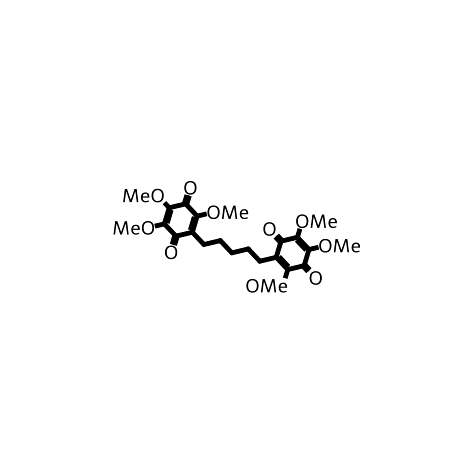 COC1=C(CCCCCC2=C(OC)C(=O)C(OC)=C(OC)C2=O)C(=O)C(OC)=C(OC)C1=O